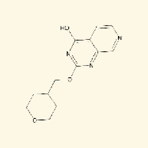 Oc1nc(OCC2CCOCC2)nc2cnccc12